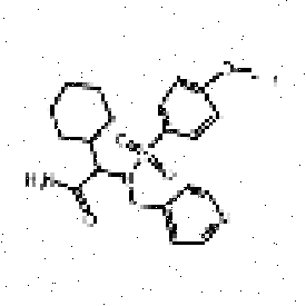 COc1ccc(S(=O)(=O)N(Cc2ccncc2)[C@@H](C(N)=O)C2CCCCC2)cc1